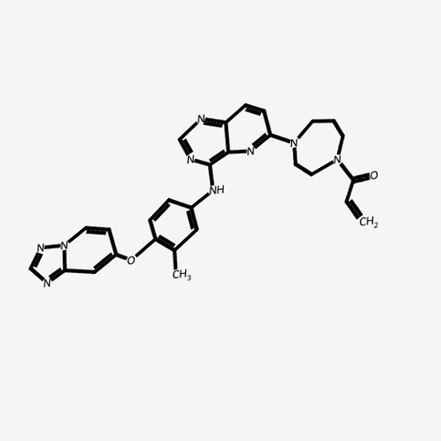 C=CC(=O)N1CCCN(c2ccc3ncnc(Nc4ccc(Oc5ccn6ncnc6c5)c(C)c4)c3n2)CC1